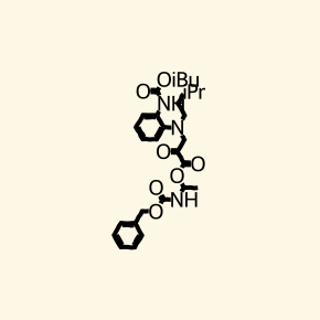 CC(C)CCN(CC(=O)C(=O)OC(C)NC(=O)OCc1ccccc1)c1ccccc1NC(=O)OCC(C)C